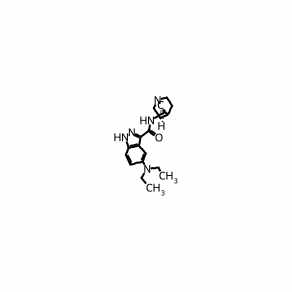 CCN(CC)c1ccc2[nH]nc(C(=O)N[C@H]3CN4CCC3CC4)c2c1